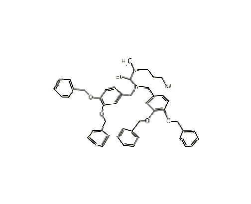 CCC(N(C)CCC[NH])N(Cc1ccc(OCc2ccccc2)c(OCc2ccccc2)c1)Cc1ccc(OCc2ccccc2)c(OCc2ccccc2)c1